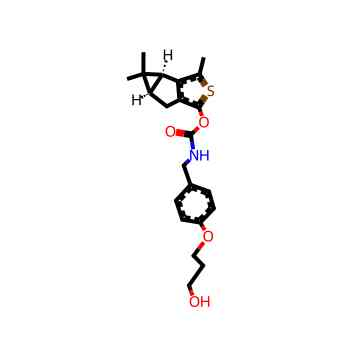 Cc1sc(OC(=O)NCc2ccc(OCCCO)cc2)c2c1[C@H]1[C@@H](C2)C1(C)C